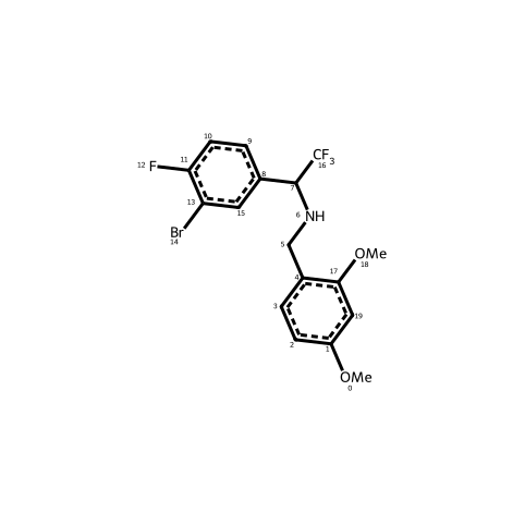 COc1ccc(CNC(c2ccc(F)c(Br)c2)C(F)(F)F)c(OC)c1